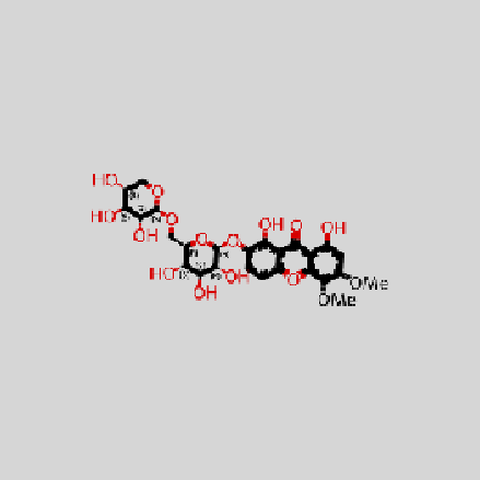 COc1cc(O)c2c(=O)c3c(O)c(O[C@@H]4O[C@H](CO[C@@H]5OC[C@@H](O)[C@H](O)[C@H]5O)[C@@H](O)[C@H](O)[C@H]4O)ccc3oc2c1OC